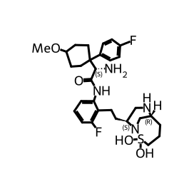 COC1CCC(c2ccc(F)cc2)([C@H](N)C(=O)Nc2cccc(F)c2CC[C@H]2CN[C@@H]3CCCS(O)(O)N2C3)CC1